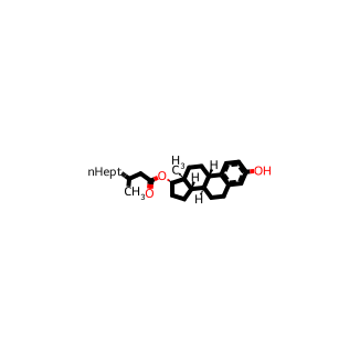 CCCCCCCC(C)CC(=O)O[C@H]1CC[C@H]2[C@@H]3CCc4cc(O)ccc4[C@H]3CC[C@]12C